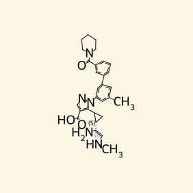 CN/C=C(\N)[C@H]1CC1c1c(C(=O)O)cnn1-c1cc(C)cc(-c2cccc(C(=O)N3CCCCC3)c2)c1